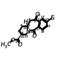 COC(=O)[C@H]1CC[C@H]2CC(=O)c3cc(F)ccc3C(=O)N2C1